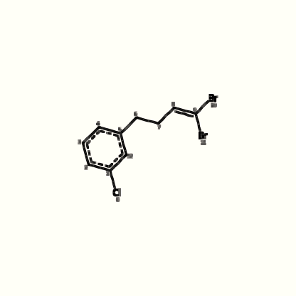 Clc1cccc(CCC=C(Br)Br)c1